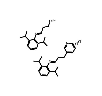 CC(C)c1cccc(C(C)C)c1N=CCCc1cccnc1.CC(C)c1cccc(C(C)C)c1N=CC[CH2][Fe+2].[Cl-].[Cl-]